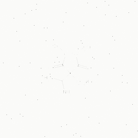 CC(C)(C)OC(=O)C(C(=O)O)(C(=O)OC(C)(C)C)C(N)N